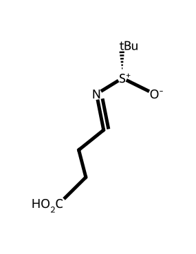 CC(C)(C)[S@+]([O-])N=CCCC(=O)O